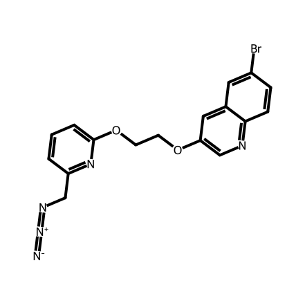 [N-]=[N+]=NCc1cccc(OCCOc2cnc3ccc(Br)cc3c2)n1